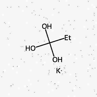 CCC(O)(O)O.[K]